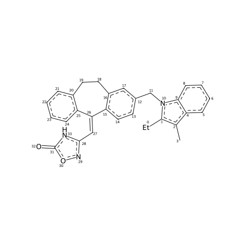 CCc1c(C)c2ccccc2n1Cc1ccc2c(c1)CCc1ccccc1C2=Cc1noc(=O)[nH]1